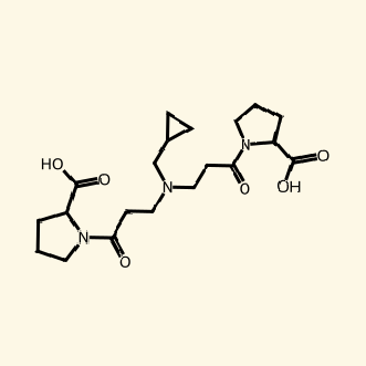 O=C(O)C1CCCN1C(=O)CCN(CCC(=O)N1CCCC1C(=O)O)CC1CC1